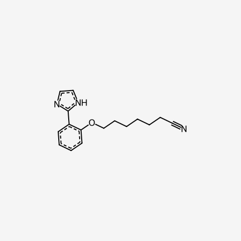 N#CCCCCCCOc1ccccc1-c1ncc[nH]1